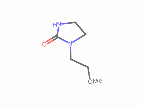 [CH2-][OH+]CCN1CCNC1=O